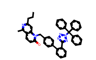 CCCc1cc2c(ccc(=O)n2Cc2ccc(-c3ccccc3-c3nnn(C(c4ccccc4)(c4ccccc4)c4ccccc4)n3)cc2)c(C)n1